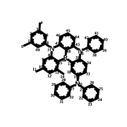 Cc1cc(C)cc(N2c3cc(C)cc(C)c3B3c4cc(N(c5ccccc5)c5ccccc5)ccc4N(c4ccccc4)c4cccc2c43)c1